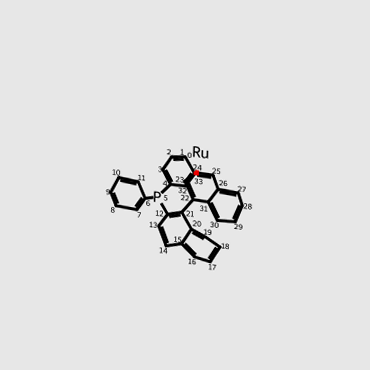 [Ru].c1ccc(P(c2ccccc2)c2ccc3ccccc3c2-c2cccc3ccccc23)cc1